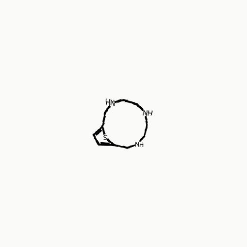 c1cc2sc1CNCCNCCNC2